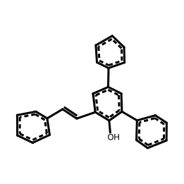 Oc1c(C=Cc2ccccc2)cc(-c2ccccc2)cc1-c1ccccc1